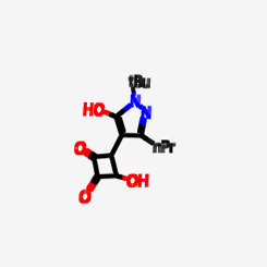 CCCc1nn(C(C)(C)C)c(O)c1C1C(=O)C(=O)C1O